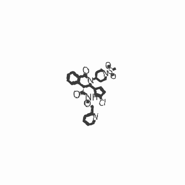 CS(=O)(=O)N1CCC(N2C(=O)c3ccccc3[C@@H](C(=O)NOCc3ccccn3)C2C2C=CC(Cl)=C2)CC1